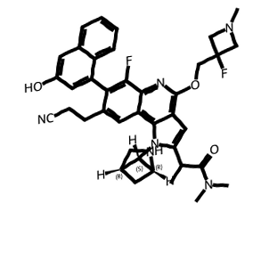 CC(C(=O)N(C)C)c1cc2c(OCC3(F)CN(C)C3)nc3c(F)c(-c4cc(O)cc5ccccc45)c(CCC#N)cc3c2n1[C@H]1[C@H]2CN[C@@H]1C2